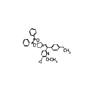 CCc1ccc(C(=C[C@H]2CCC3(C2)O[C@H](c2ccccc2)[C@@H](c2ccccc2)O3)c2ccc(C3CC3)c(OC)n2)cc1